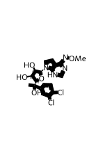 CON=c1nc[nH]c2c1ccn2[C@@H]1O[C@H](C(C)(O)c2ccc(Cl)c(Cl)c2)[C@@H](O)[C@H]1O